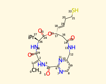 C/C=C1\NC(=O)c2nccc(n2)CNC(=O)C[C@@H](/C=C/CCS)OC(=O)[C@H](C(C)C)NC1=O